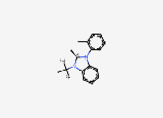 [2H]C([2H])(C)N1c2ccccc2N(c2ccccc2C)[C@@H]1C